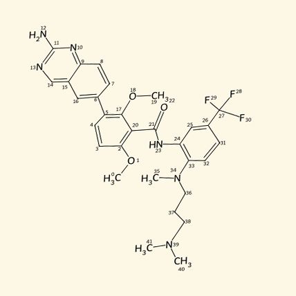 COc1ccc(-c2ccc3nc(N)ncc3c2)c(OC)c1C(=O)Nc1cc(C(F)(F)F)ccc1N(C)CCCN(C)C